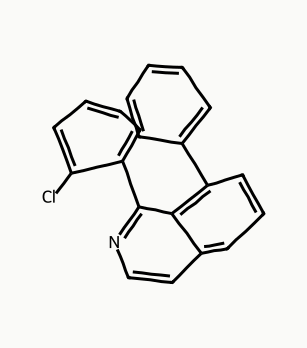 Clc1ccccc1-c1nccc2cccc(-c3ccccc3)c12